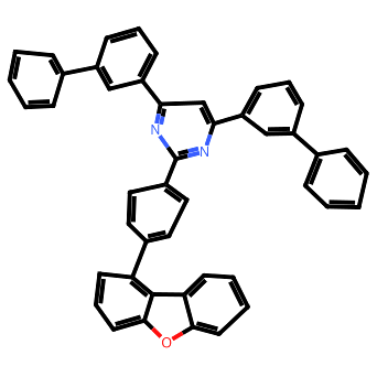 c1ccc(-c2cccc(-c3cc(-c4cccc(-c5ccccc5)c4)nc(-c4ccc(-c5cccc6oc7ccccc7c56)cc4)n3)c2)cc1